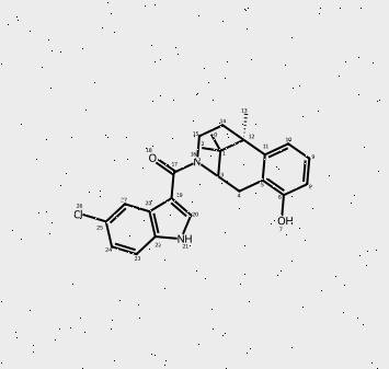 CC1(C)C2Cc3c(O)cccc3[C@]1(C)CCN2C(=O)c1c[nH]c2ccc(Cl)cc12